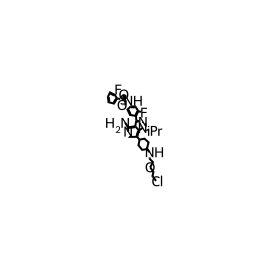 CC(C)n1nc(-c2ccc(NS(=O)(=O)c3ccccc3F)cc2F)c2c(N)ncc(C3CCC(NCCOCCCl)CC3)c21